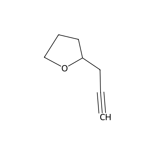 C#CCC1CCCO1